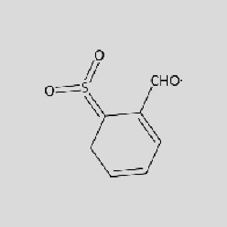 O=[C]C1=CC=CCC1=S(=O)=O